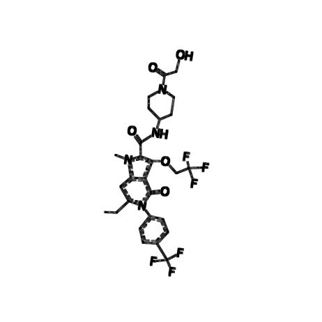 CCc1cc2c(c(OCC(F)(F)F)c(C(=O)NC3CCN(C(=O)CO)CC3)n2C)c(=O)n1-c1ccc(C(F)(F)F)cc1